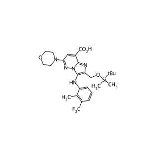 Cc1c(Nc2c(CO[Si](C)(C)C(C)(C)C)nc3c(C(=O)O)cc(N4CCOCC4)nn23)cccc1C(F)(F)F